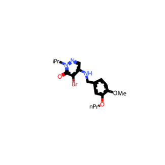 CCCOc1cc(CNc2cnn(C(C)C)c(=O)c2Br)ccc1OC